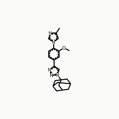 COc1cc(-c2cn(C34CC5CC(CC(C5)C3)C4)nn2)ccc1-n1cnc(C)c1